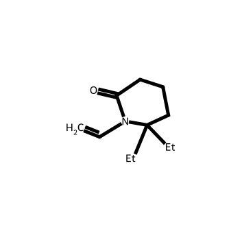 C=CN1C(=O)CCCC1(CC)CC